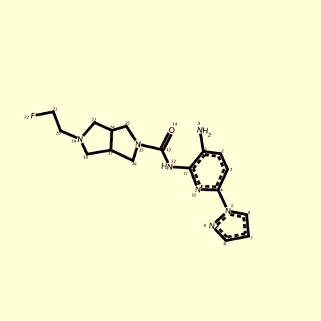 Nc1ccc(-n2cccn2)nc1NC(=O)N1CC2CN(CCF)CC2C1